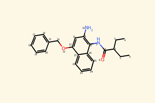 CCC(CC)C(=O)Nc1c(N)cc(OCc2ccccc2)c2ccccc12